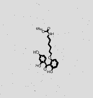 CC(C)(C)OC(=O)NCCCCCCOc1cccc(O)c1C(=O)c1ccc(O)cc1O